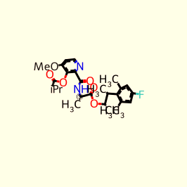 COc1ccnc(C(=O)N[C@@H](C)C(=O)OC(C)C(C)c2c(C)cc(F)cc2C)c1OC(=O)C(C)C